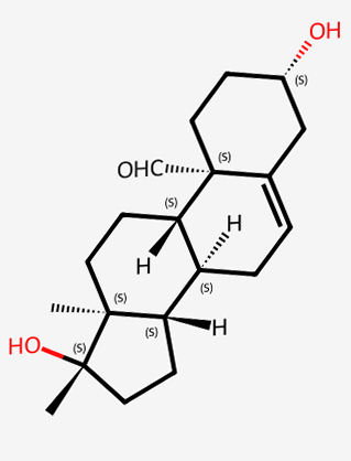 C[C@]1(O)CC[C@H]2[C@@H]3CC=C4C[C@@H](O)CC[C@]4(C=O)[C@H]3CC[C@@]21C